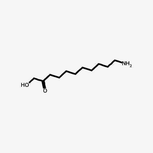 NCCCCCCCCCC(=O)CO